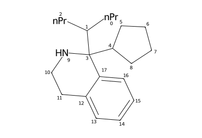 CCCC(CCC)C1(C2CCCC2)NCCc2ccccc21